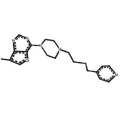 Cc1csc2c(N3CCN(CCCCc4ccncc4)CC3)ncnc12